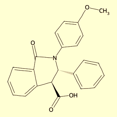 COc1ccc(N2C(=O)c3ccccc3[C@H](C(=O)O)[C@H]2c2ccccc2)cc1